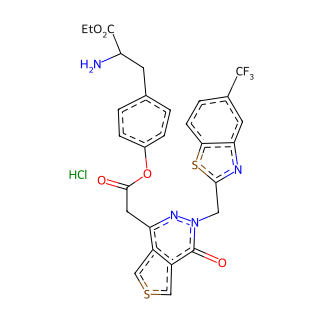 CCOC(=O)C(N)Cc1ccc(OC(=O)Cc2nn(Cc3nc4cc(C(F)(F)F)ccc4s3)c(=O)c3cscc23)cc1.Cl